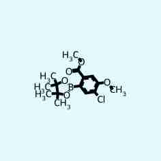 COC(=O)c1cc(OC)c(Cl)cc1B1OC(C)(C)C(C)(C)O1